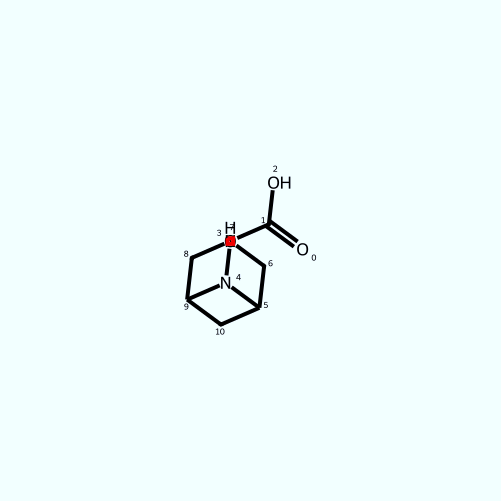 O=C(O)ON1C2CNCC1C2